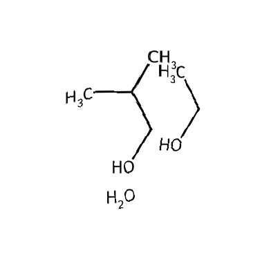 CC(C)CO.CCO.O